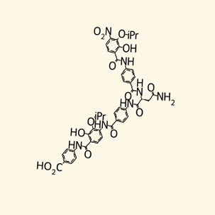 CC(C)Oc1c(NC(=O)c2ccc(NC(=O)[C@H](CC(N)=O)NC(=O)c3ccc(NC(=O)c4ccc([N+](=O)[O-])c(OC(C)C)c4O)cc3)cc2)ccc(C(=O)Nc2ccc(C(=O)O)cc2)c1O